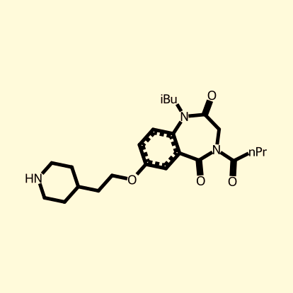 CCCC(=O)N1CC(=O)N(C(C)CC)c2ccc(OCCC3CCNCC3)cc2C1=O